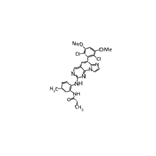 C=CC(=O)Nc1cc(C)ccc1Nc1ncc2cc(-c3c(Cl)c(OC)cc(OC)c3Cl)c3nccn3c2n1